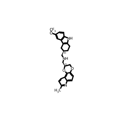 Cc1ccc2c3c(ccc2n1)OC[C@H](CNC[C@@H]1CCc2[nH]c4ccc(OC(F)(F)F)cc4c2C1)O3